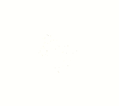 CCCC[C@@H](C(=O)N[C@@H](CC1CCCCC1)[C@@H](O)[C@@H](O)C1CC1)N(CC1c2ccccc2-c2ccccc21)C(=O)O